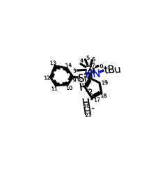 CC(C)(C)[NH][Zr]([CH3])([CH3])([CH3])([CH3])([CH3])([SiH2]c1ccccc1)[C]1=CC=CC1.[H-].[H-]